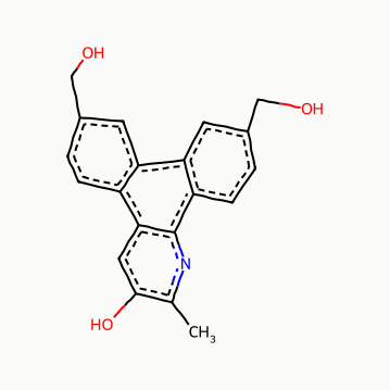 Cc1nc2c3ccc(CO)cc3c3cc(CO)ccc3c2cc1O